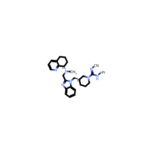 CCCNC(=NC#N)N1CCC[C@@H](Cn2c(CN(C)[C@H]3CCCc4cccnc43)nc3ccccc32)C1